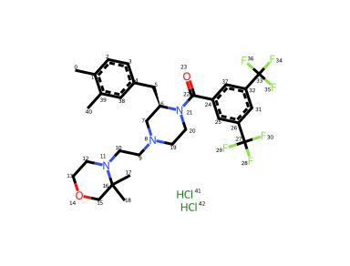 Cc1ccc(C[C@@H]2CN(CCN3CCOCC3(C)C)CCN2C(=O)c2cc(C(F)(F)F)cc(C(F)(F)F)c2)cc1C.Cl.Cl